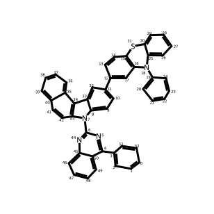 c1ccc(-c2nc(-n3c4ccc(-c5ccc6c(c5)N(c5ccccc5)c5ccccc5S6)cc4c4c5ccccc5ccc43)nc3ccccc23)cc1